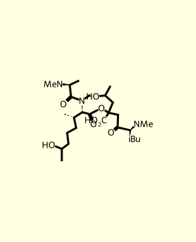 CC[C@H](C)[C@H](NC)C(=O)CC(CC(C)O)(OC(=O)[C@H]([C@@H](C)CCCC(C)O)N(C)C(=O)[C@H](C)NC)C(=O)O